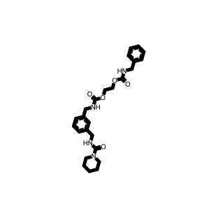 O=C(NCc1ccccc1)OCCOC(=O)NCc1cccc(CNC(=O)N2CCCCC2)c1